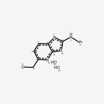 CC(C)Nc1nc2ccc(CCl)nc2s1.Cl.Cl